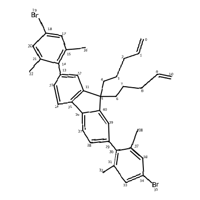 C=CCCCC1(CCCC=C)c2cc(-c3c(C)cc(Br)cc3C)ccc2-c2ccc(-c3c(C)cc(Br)cc3C)cc21